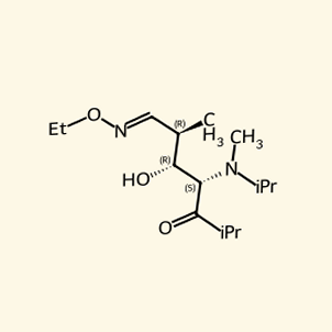 CCON=C[C@@H](C)[C@@H](O)[C@@H](C(=O)C(C)C)N(C)C(C)C